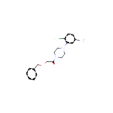 O=C(COCc1ccccc1)N1CCN(c2cc(C(F)(F)F)ccc2Cl)CC1